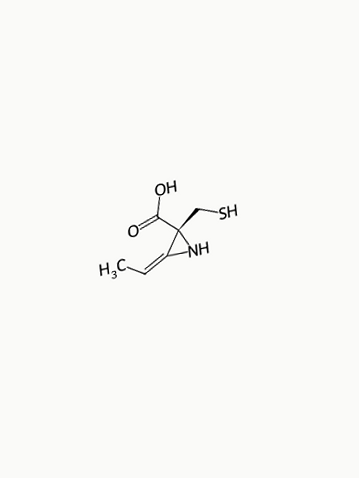 CC=C1N[C@@]1(CS)C(=O)O